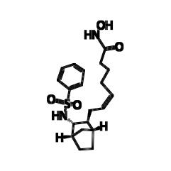 O=C(CCC/C=C\C[C@H]1[C@@H]2CC[C@@H](C2)[C@@H]1NS(=O)(=O)c1ccccc1)NO